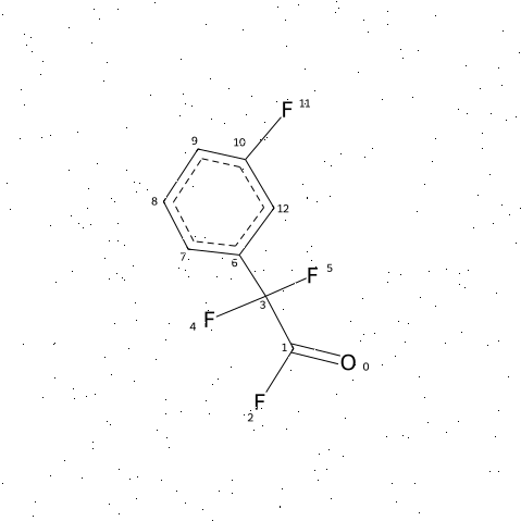 O=C(F)C(F)(F)c1cccc(F)c1